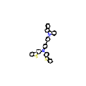 C1=CC2c3ccccc3SC2C=C1N(c1ccc(-c2ccc(-n3c4ccccc4c4c5ccccc5ccc43)cc2)cc1)c1ccc2c(c1)sc1ccccc12